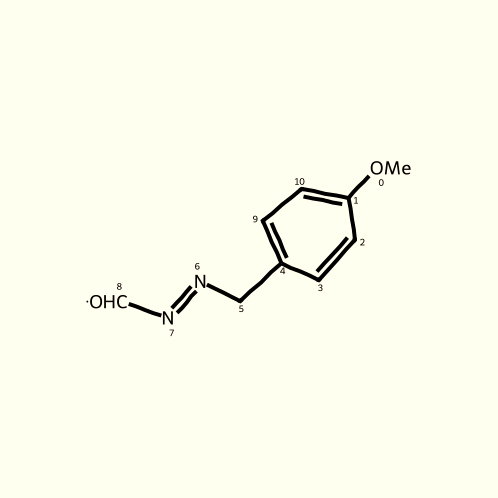 COc1ccc(C/N=N/[C]=O)cc1